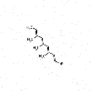 C/C=C(C)/C=C(C)/C=C(C)/C=C/CCC